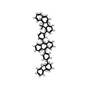 CC1(C)c2c(-c3cccc(-c4c5ccccc5c(-c5ccc(-c6cccc7c6oc6ccccc67)cc5)c5ccccc45)c3)cccc2-c2ccc3ccccc3c21